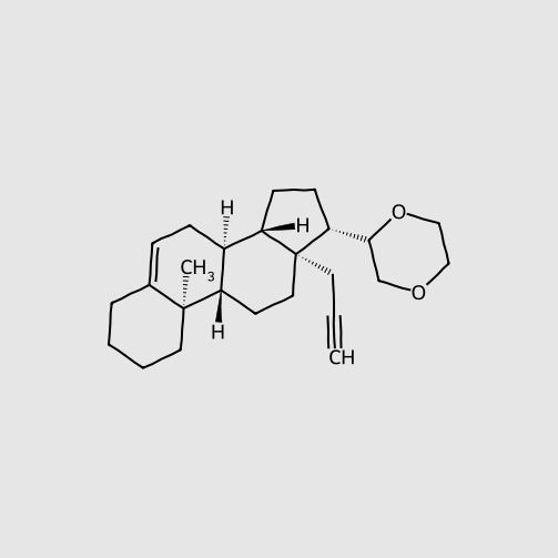 C#CC[C@]12CC[C@H]3[C@@H](CC=C4CCCC[C@@]43C)[C@@H]1CC[C@@H]2C1COCCO1